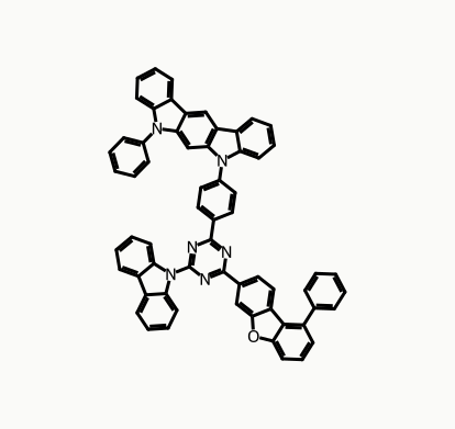 c1ccc(-c2cccc3oc4cc(-c5nc(-c6ccc(-n7c8ccccc8c8cc9c%10ccccc%10n(-c%10ccccc%10)c9cc87)cc6)nc(-n6c7ccccc7c7ccccc76)n5)ccc4c23)cc1